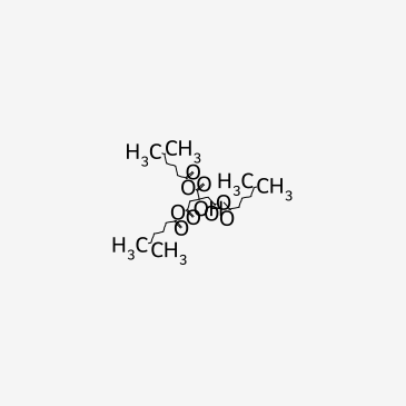 CC(C)CCCC(=O)OC(=O)CC(O)(CC(=O)OC(=O)CCCC(C)C)C(=O)OC(=O)CCCC(C)C